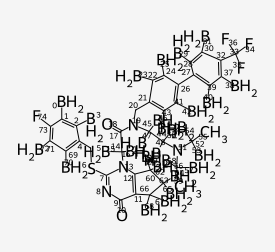 Bc1c(B)c(CSc2nc(=O)c3c(n2C(B)(B)C(=O)N(Cc2c(B)c(B)c(-c4c(B)c(B)c(C(F)(F)F)c(B)c4B)c(B)c2B)C(B)(B)C(B)(B)N(C(B)(B)C)C(B)(B)C)C(B)(B)C(B)(B)C3(B)B)c(B)c(B)c1F